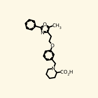 Cc1oc(-c2ccccc2)nc1CCOc1cccc(CN2CCCCC2C(=O)O)c1